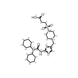 O=C(O)CCS(=O)(=O)N1CCN(Cc2cnc(NC(=O)N(C3CCCCC3)C3CCCCC3)s2)CC1